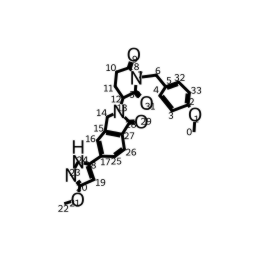 COc1ccc(CN2C(=O)CCC(N3Cc4cc(-c5cc(OC)n[nH]5)ccc4C3=O)C2=O)cc1